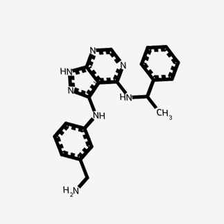 CC(Nc1ncnc2[nH]nc(Nc3cccc(CN)c3)c12)c1ccccc1